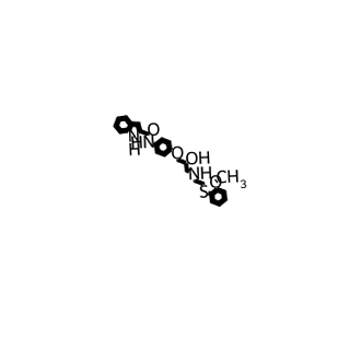 COc1ccccc1SCCNCC(O)COc1ccc(NC(=O)c2cc3ccccc3[nH]2)cc1